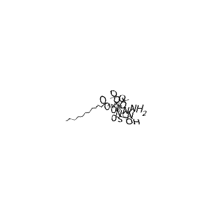 CCCCCCCCCCCC(=O)OC[C@H]1O[C@@H](n2c(=O)sc3c(O)nc(N)nc32)[C@H](OC(C)=O)[C@@H]1OC(C)=O